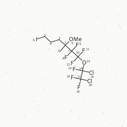 COC(C)(CCCI)C(F)(F)C(F)(F)OC(F)(Cl)C(F)(F)Cl